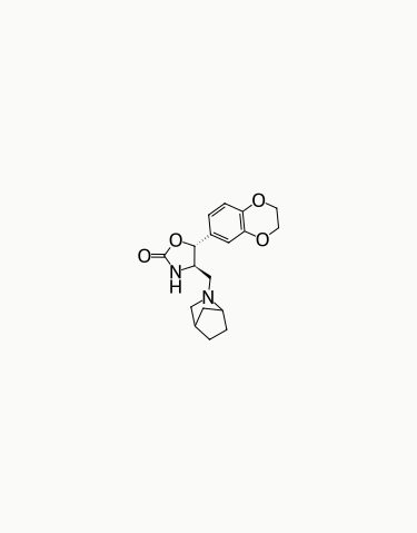 O=C1N[C@H](CN2CC3CCC2C3)[C@@H](c2ccc3c(c2)OCCO3)O1